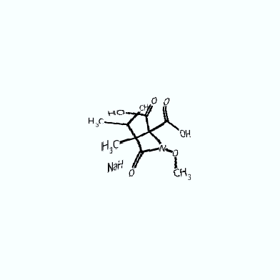 CON1C(=O)C(C)(C(C)C)C1(C(=O)O)C(=O)O.[NaH]